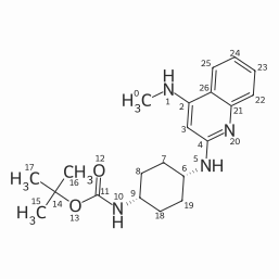 CNc1cc(N[C@H]2CC[C@@H](NC(=O)OC(C)(C)C)CC2)nc2ccccc12